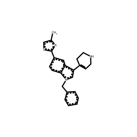 Cc1csc(-c2ccc3c(c2)c(C2=CCNCC2)cn3Cc2ccccc2)n1